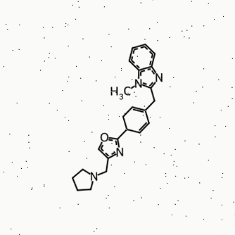 Cn1c(CC2=CCC(c3nc(CN4CCCC4)co3)C=C2)nc2ccccc21